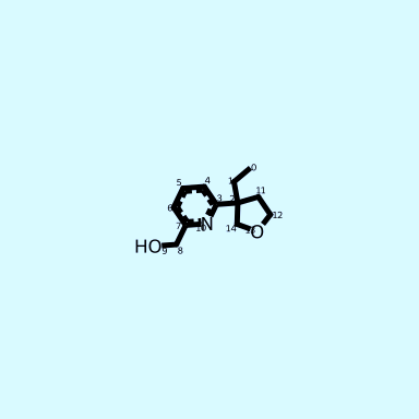 CCC1(c2cccc(CO)n2)CCOC1